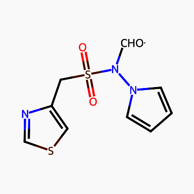 O=[C]N(n1cccc1)S(=O)(=O)Cc1cscn1